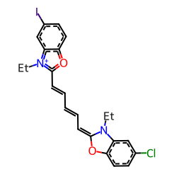 CCN1C(=CC=CC=Cc2oc3ccc(I)cc3[n+]2CC)Oc2ccc(Cl)cc21